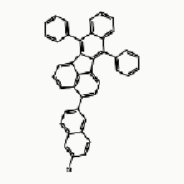 Brc1ccc2cc(-c3ccc4c5c(cccc35)-c3c-4c(-c4ccccc4)c4ccccc4c3-c3ccccc3)ccc2c1